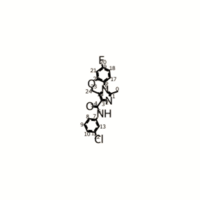 Cc1nc(C(=O)Nc2cccc(Cl)c2)c2n1-c1ccc(F)cc1OC2